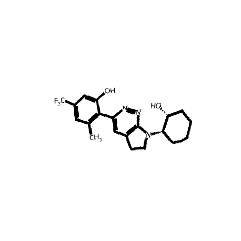 Cc1cc(C(F)(F)F)cc(O)c1-c1cc2c(nn1)N([C@@H]1CCCC[C@H]1O)CC2